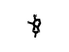 CC(=O)c1ccc2nc(C)sc2c1F